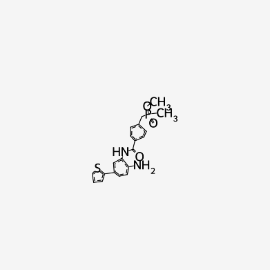 COP(C)(=O)Cc1ccc(C(=O)Nc2cc(-c3cccs3)ccc2N)cc1